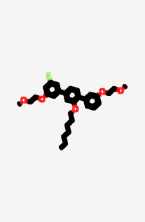 CCCCCCCOc1cc(-c2cc(F)cc(OCCOC)c2)ccc1-c1cccc(OCCOC)c1